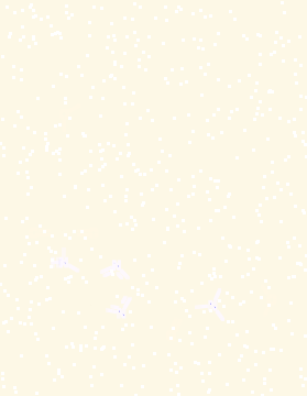 O=C(Cc1nsc(NS(=O)(=O)c2ccc(Oc3ccccc3)cc2)n1)N1CCOCC1